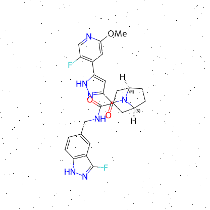 COc1cc(-c2cc(C(=O)N3[C@@H]4CC[C@H]3CC(C(=O)NCc3ccc5[nH]nc(F)c5c3)C4)n[nH]2)c(F)cn1